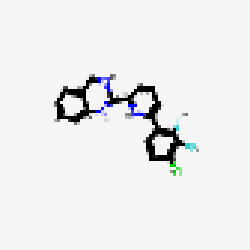 Fc1c(Cl)ccc(-c2cccc(-c3ncc4ccccc4n3)n2)c1F